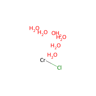 O.O.O.O.O.O.[Cl][Cr]